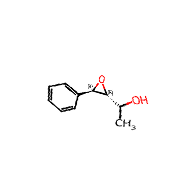 CC(O)[C@H]1O[C@@H]1c1ccccc1